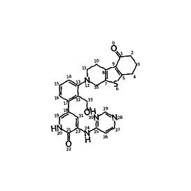 O=C1CCCc2sc3c(c21)CCN(c1cccc(-c2c[nH]c(=O)c(Nc4ccncn4)c2)c1CO)C3